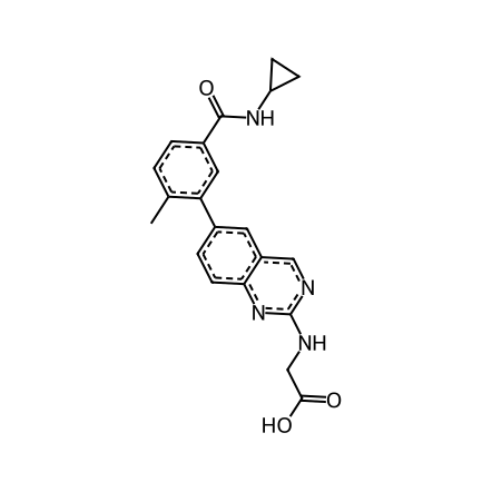 Cc1ccc(C(=O)NC2CC2)cc1-c1ccc2nc(NCC(=O)O)ncc2c1